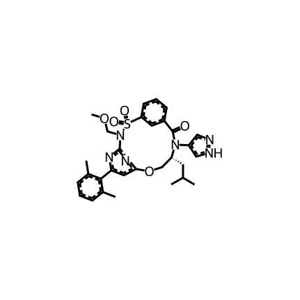 COCN1c2nc(cc(-c3c(C)cccc3C)n2)OC[C@@H](CC(C)C)N(c2cn[nH]c2)C(=O)c2cccc(c2)S1(=O)=O